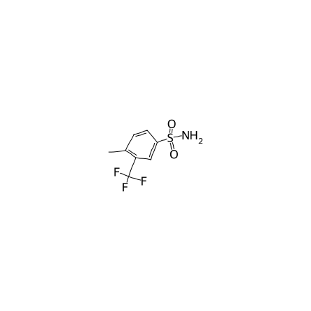 Cc1ccc(S(N)(=O)=O)cc1C(F)(F)F